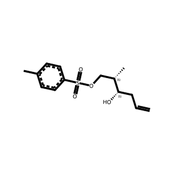 C=CC[C@H](O)[C@@H](C)COS(=O)(=O)c1ccc(C)cc1